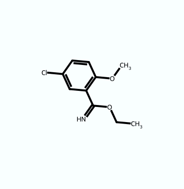 CCOC(=N)c1cc(Cl)ccc1OC